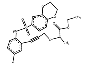 CCOC(=O)C(C)OCC#Cc1cc(Cl)ccc1NS(=O)(=O)c1ccc2c(c1)OCCO2